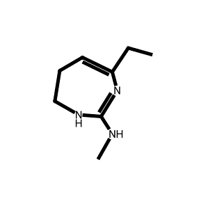 CCC1=CCCNC(NC)=N1